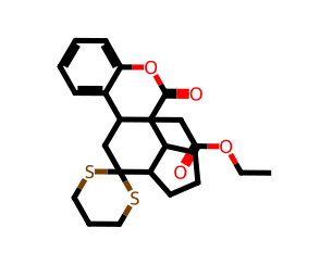 CCOC(=O)CC12C(=O)Oc3ccccc3C1CC1(SCCCS1)C1CCCC12